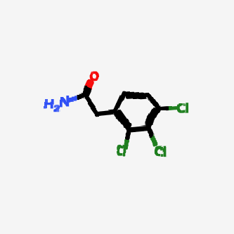 NC(=O)Cc1ccc(Cl)c(Cl)c1Cl